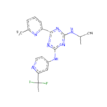 CC(C#N)Nc1nc(Nc2ccnc(C(C)(F)F)c2)nc(-c2cccc(C(F)(F)F)n2)n1